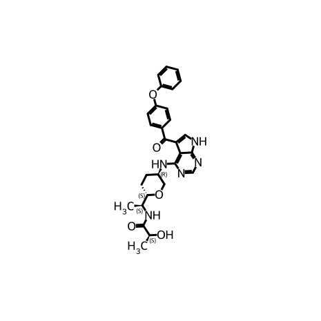 C[C@H](O)C(=O)N[C@@H](C)[C@@H]1CC[C@@H](Nc2ncnc3[nH]cc(C(=O)c4ccc(Oc5ccccc5)cc4)c23)CO1